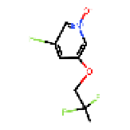 CC(F)(F)COc1cc(F)c[n+]([O-])c1